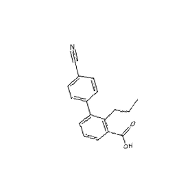 CCCc1c(C(=O)O)cccc1-c1ccc(C#N)cc1